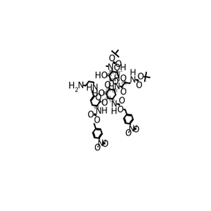 CN(C(=O)OC(C)(C)C)[C@@H]1[C@@H](O)[C@@H](O[C@@H]2[C@@H](O)[C@H](O[C@H]3OC(CNCCCN)=CC[C@H]3NC(=O)OCc3ccc([N+](=O)[O-])cc3)[C@@H](NC(=O)OCc3ccc([N+](=O)[O-])cc3)C[C@H]2NC(=O)[C@@H](O)CNC(=O)OC(C)(C)C)OC[C@]1(C)O